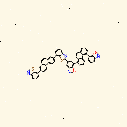 c1cc(-c2cccc3ncoc23)c2c(c1)ccc1c(-c3cc(-c4nc5cccc(-c6ccc7c(ccc8cc(-c9cccc%10ncsc9%10)ccc87)c6)c5s4)cc4ncoc34)cccc12